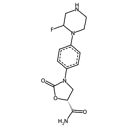 NC(=O)[C@H]1CN(c2ccc(N3CCNCC3F)cc2)C(=O)O1